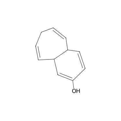 OC1=CC2C=CCC=CC2C=C1